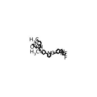 Cc1ccc2nc(C(C)N3CCC(c4cccc(OCc5ccc6cnn(CC(F)F)c6c5)n4)CC3)n(CC3CCO3)c2n1